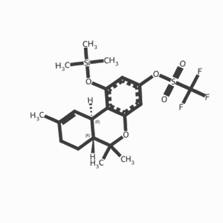 CC1=C[C@H]2c3c(cc(OS(=O)(=O)C(F)(F)F)cc3O[Si](C)(C)C)OC(C)(C)[C@@H]2CC1